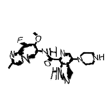 COc1c(NC(=O)c2ncc(N3CCNCC3)c3cn[nH]c23)cn2cc(C)nc2c1F